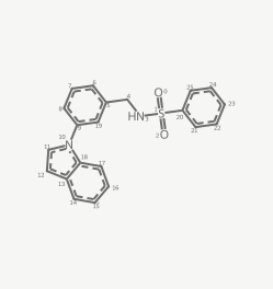 O=S(=O)(NCc1cccc(-n2ccc3c[c]ccc32)c1)c1ccccc1